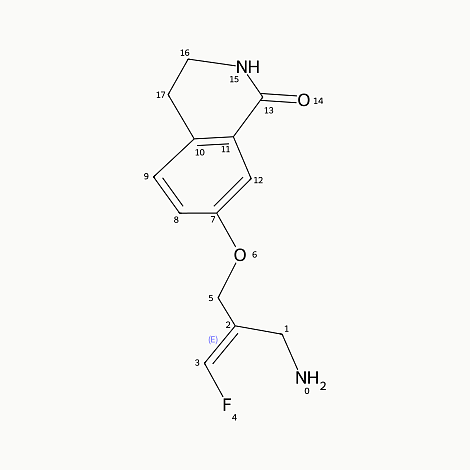 NC/C(=C\F)COc1ccc2c(c1)C(=O)NCC2